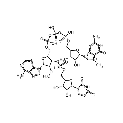 CO[C@@H]1[C@H](OP(=O)(O)OC[C@H]2O[C@@H](n3ccc(=O)[nH]c3=O)[C@H](O)[C@@H]2O)[C@@H](COP(=O)(O)OP(=O)(O)OP(=O)(O)OC[C@H]2O[C@@H](n3c[n+](C)c4c(=O)[nH]c(N)nc43)[C@H](O)[C@@H]2C)O[C@H]1n1cnc2c(N)ncnc21